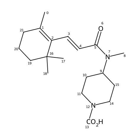 CC1=C(C=CC(=O)N(C)C2CCN(C(=O)O)CC2)C(C)(C)CCC1